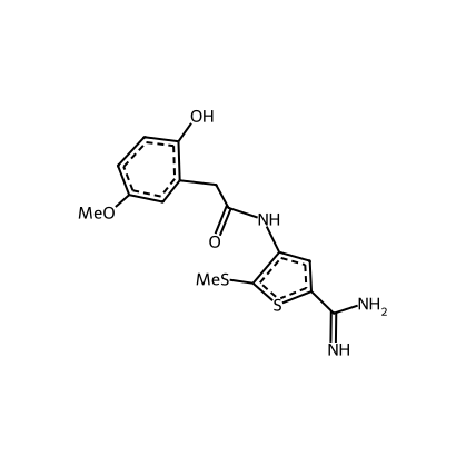 COc1ccc(O)c(CC(=O)Nc2cc(C(=N)N)sc2SC)c1